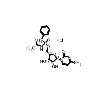 C[C@H](NP(=O)(OC[C@H]1O[C@@H](n2ccc(N)nc2=O)[C@H](O)[C@@H]1O)Oc1ccccc1)C(=O)O.Cl